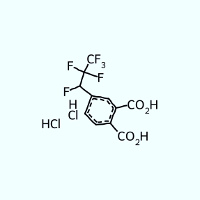 Cl.Cl.O=C(O)c1ccc(C(F)C(F)(F)C(F)(F)F)cc1C(=O)O